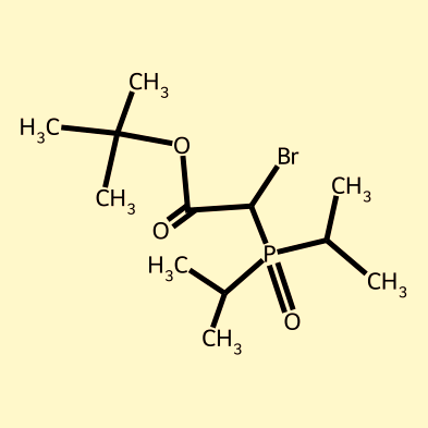 CC(C)P(=O)(C(C)C)C(Br)C(=O)OC(C)(C)C